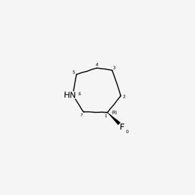 F[C@@H]1CCCCNC1